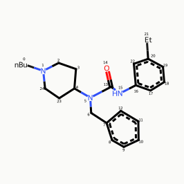 CCCCN1CCC(N(Cc2ccccc2)C(=O)Nc2cccc(CC)c2)CC1